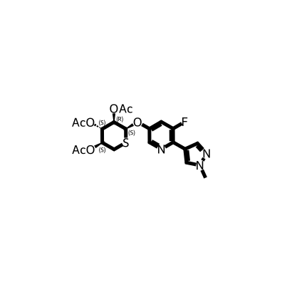 CC(=O)O[C@@H]1[C@@H](OC(C)=O)[C@@H](Oc2cnc(-c3cnn(C)c3)c(F)c2)SC[C@H]1OC(C)=O